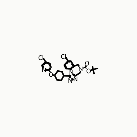 CC(C)(C)OC(=O)N1Cc2cc(Cl)ccc2-n2c(nnc2C2CCC(Oc3ccc(Cl)cn3)CC2)C1